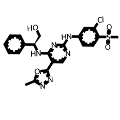 Cc1nnc(-c2cnc(Nc3ccc(S(C)(=O)=O)c(Cl)c3)nc2N[C@H](CO)c2ccccc2)o1